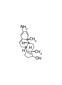 C[C@]12C=CC(N)=CC1=CC[C@@H]1[C@H]2CC[C@]2(C)C(O)CC[C@@H]12